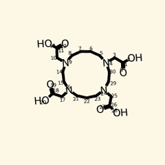 O=C(O)CN1CCCCN(CC(=O)O)CCN(CC(=O)O)CCCN(CC(=O)O)CC1